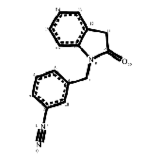 N#[N+]c1cccc(CN2C(=O)Cc3ccccc32)c1